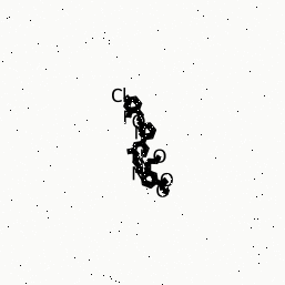 COCCn1c(CN2CCC(c3cccc(OCc4ccc(Cl)cc4F)n3)CC2C)nc2ccc(C(=O)OC)cc21